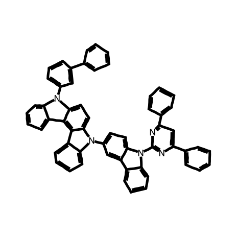 c1ccc(-c2cccc(-n3c4ccccc4c4c5c6ccccc6n(-c6ccc7c(c6)c6ccccc6n7-c6nc(-c7ccccc7)cc(-c7ccccc7)n6)c5ccc43)c2)cc1